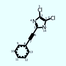 ClC1=C(Cl)N=C(C#Cc2ccccc2)[N]1